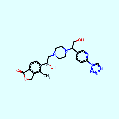 Cc1c([C@@H](O)CN2CCN(C(CO)c3ccc(-n4cnnn4)nc3)CC2)ccc2c1COC2=O